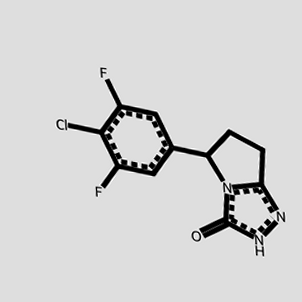 O=c1[nH]nc2n1C(c1cc(F)c(Cl)c(F)c1)CC2